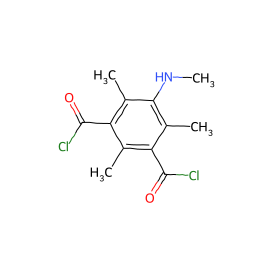 CNc1c(C)c(C(=O)Cl)c(C)c(C(=O)Cl)c1C